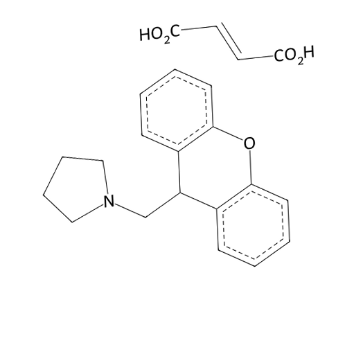 O=C(O)C=CC(=O)O.c1ccc2c(c1)Oc1ccccc1C2CN1CCCC1